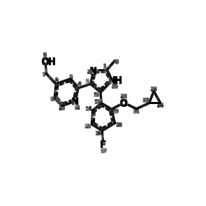 Cc1nc(-c2cc(CO)ccn2)c(-c2ccc(F)cc2OCC2CC2)[nH]1